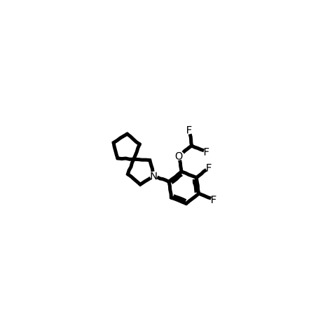 Fc1ccc(N2CCC3(CCCC3)C2)c(OC(F)F)c1F